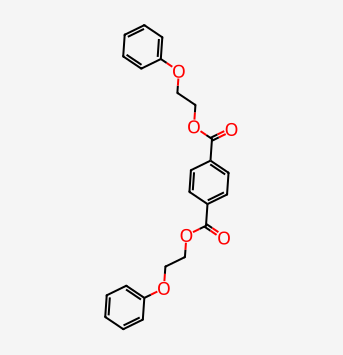 O=C(OCCOc1ccccc1)c1ccc(C(=O)OCCOc2ccccc2)cc1